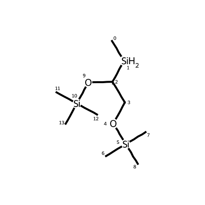 C[SiH2][C](CO[Si](C)(C)C)O[Si](C)(C)C